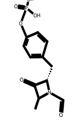 COP(=O)(O)Oc1ccc(C[C@H]2C(=O)C(C)N2C=O)cc1